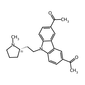 CC(=O)c1ccc2c(c1)c1cc(C(C)=O)ccc1n2CC[C@@H]1CCCN1C